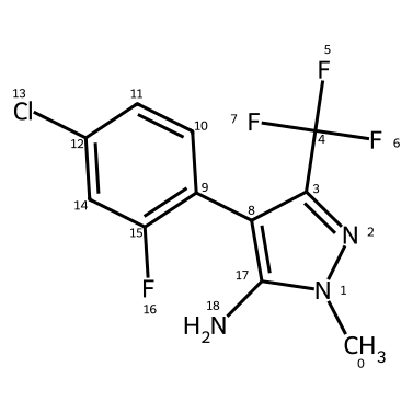 Cn1nc(C(F)(F)F)c(-c2ccc(Cl)cc2F)c1N